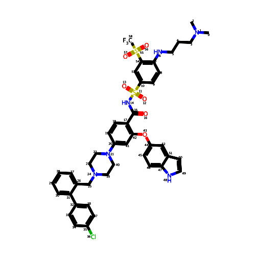 CN(C)CCCNc1ccc(S(=O)(=O)NC(=O)c2ccc(N3CCN(Cc4ccccc4-c4ccc(Cl)cc4)CC3)cc2Oc2ccc3[nH]ccc3c2)cc1S(=O)(=O)C(F)(F)F